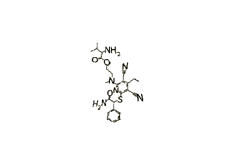 CCc1c(C#N)c(SC(C(N)=O)c2ccccc2)nc(N(C)CCOC(=O)C(N)C(C)C)c1C#N